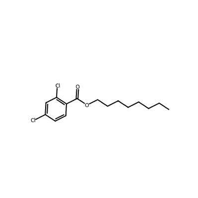 CCCCCCCCOC(=O)c1ccc(Cl)cc1Cl